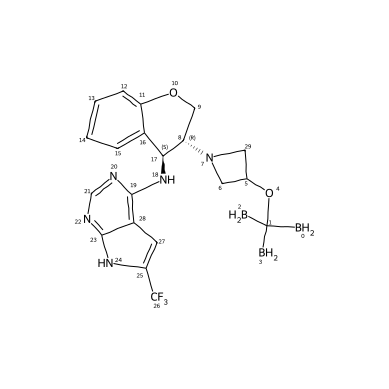 BC(B)(B)OC1CN([C@H]2COc3ccccc3[C@@H]2Nc2ncnc3[nH]c(C(F)(F)F)cc23)C1